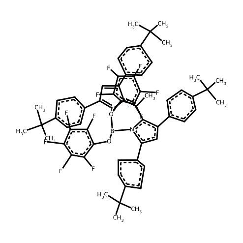 C/C(=C1/N=C(c2ccc(C(C)(C)C)cc2)C=C1c1ccc(C(C)(C)C)cc1)c1c(-c2ccc(C(C)(C)C)cc2)cc(-c2ccc(C(C)(C)C)cc2)n1B(Oc1c(F)c(F)c(F)c(F)c1F)Oc1c(F)c(F)c(F)c(F)c1F